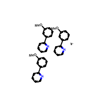 COc1cccc(-c2ccccn2)c1.COc1cccc(-c2ccccn2)c1.COc1cccc(-c2ccccn2)c1.[Ir]